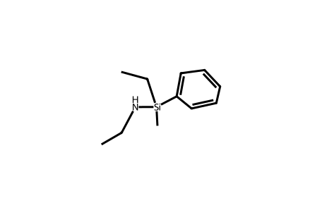 CCN[Si](C)(CC)c1ccccc1